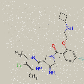 CC1=N/C(=C2\CN(C(=O)c3ccc(F)cc3OCCNC3CCC3)CC2=N)NC(C)=C1Cl